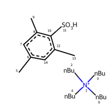 CCCC[N+](CCCC)(CCCC)CCCC.Cc1cc(C)c(S(=O)(=O)O)c(C)c1